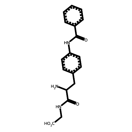 NC(Cc1ccc(NC(=O)c2ccccc2)cc1)C(=O)NCC(=O)O